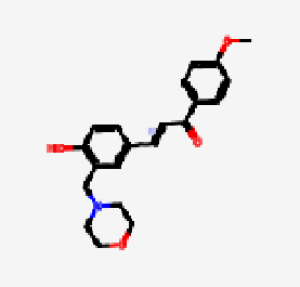 COc1ccc(C(=O)/C=C/c2ccc(O)c(CN3CCOCC3)c2)cc1